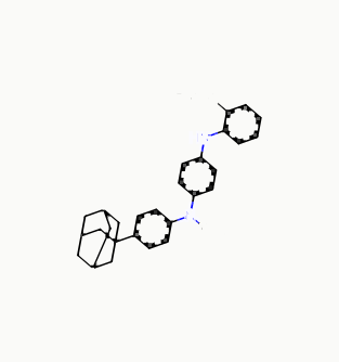 CCOC(=O)c1ccccc1Nc1ccc(N(C)c2ccc(C34CC5CC(CC(C5)C3)C4)cc2)cc1